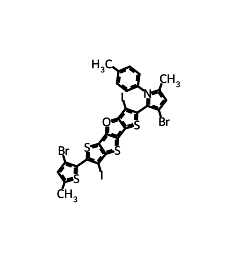 Cc1ccc(-n2c(C)cc(Br)c2-c2sc3c(oc4c5sc(-c6sc(C)cc6Br)c(I)c5sc43)c2I)cc1